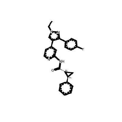 CCn1cc(-c2ccnc(NC(=O)[C@@H]3C[C@H]3c3ccccc3)c2)c(-c2ccc(F)cc2)n1